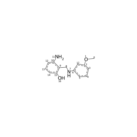 COc1cccc(NCc2c(N)cccc2O)c1